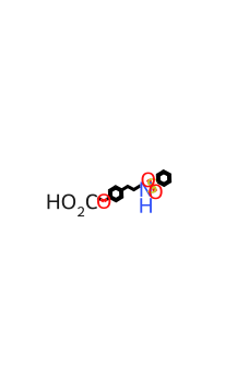 O=C(O)COc1ccc(CCCNS(=O)(=O)c2ccccc2)cc1